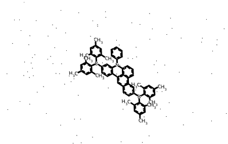 Cc1cc(C)c(B(c2ccc3c(c2)N(c2ccccc2)c2cccc4c2c-3cc2ccc(B(c3c(C)cc(C)cc3C)c3c(C)cc(C)cc3C)cc24)c2c(C)cc(C)cc2C)c(C)c1